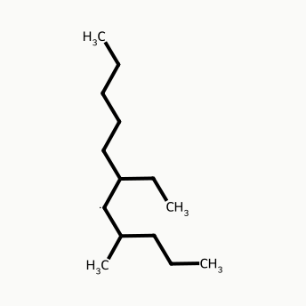 CCCCCC([CH]C(C)CCC)CC